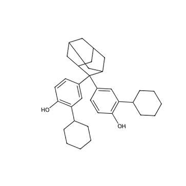 Oc1ccc(C2(c3ccc(O)c(C4CCCCC4)c3)C3CC4CC(C3)CC2C4)cc1C1CCCCC1